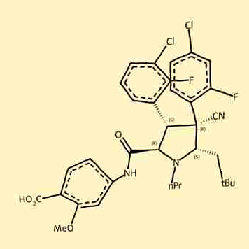 CCCN1[C@@H](CC(C)(C)C)[C@](C#N)(c2ccc(Cl)cc2F)[C@@H](c2cccc(Cl)c2F)[C@@H]1C(=O)Nc1ccc(C(=O)O)c(OC)c1